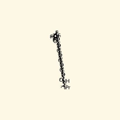 CC(C)C(C)CCNC(=O)CCOCCOCCOCCOCCOCCOCCOCCC(=O)Oc1c(F)c(F)cc(F)c1F